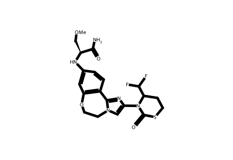 COC[C@H](Nc1ccc2c(c1)OCCn1cc(N3C(=O)SCCC3C(F)F)nc1-2)C(N)=O